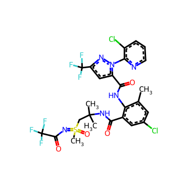 Cc1cc(Cl)cc(C(=O)NC(C)(C)CS(C)(=O)=NC(=O)C(F)(F)F)c1NC(=O)c1cc(C(F)(F)F)nn1-c1ncccc1Cl